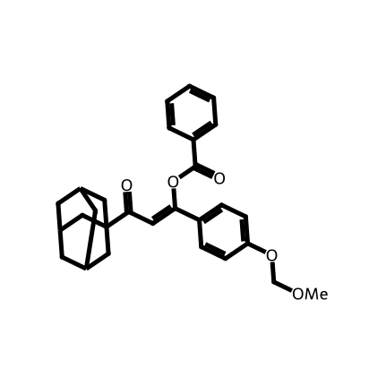 COCOc1ccc(C(=CC(=O)C23CC4CC(CC(C4)C2)C3)OC(=O)c2ccccc2)cc1